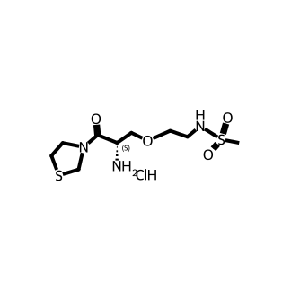 CS(=O)(=O)NCCOC[C@H](N)C(=O)N1CCSC1.Cl